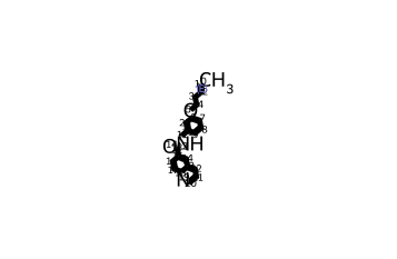 C/C=C/CCOc1cccc(CNC(=O)c2ccc3ncccc3c2)c1